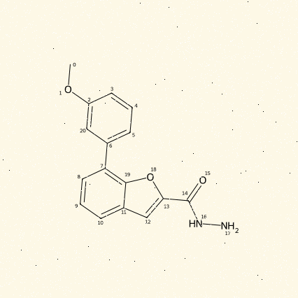 COc1cccc(-c2cccc3cc(C(=O)NN)oc23)c1